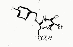 CCc1nn(CC(=O)O)c(SCc2ccc(F)cc2)nc1=O